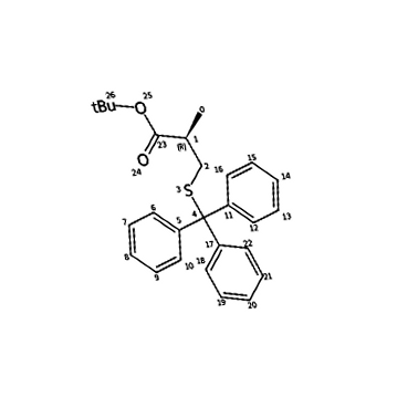 C[C@@H](CSC(c1ccccc1)(c1ccccc1)c1ccccc1)C(=O)OC(C)(C)C